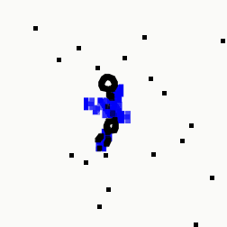 CN1CCN(c2ccc(Nc3nc(N)n(-c4cc5c(nn4)CCCCCC5)n3)cc2)CC1